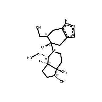 C[C@]1([C@H]2CC[C@]3(C)[C@H](O)CC[C@H]3[C@@H]2CO)Cc2cn[nH]c2C[C@@H]1CO